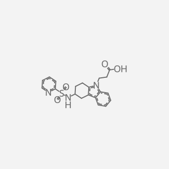 O=C(O)CCn1c2c(c3ccccc31)CC(NS(=O)(=O)c1ccccn1)CC2